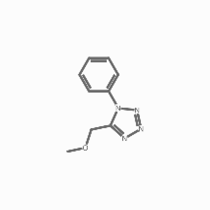 COCc1nnnn1-c1ccccc1